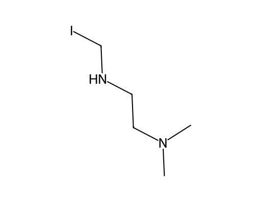 CN(C)CCNCI